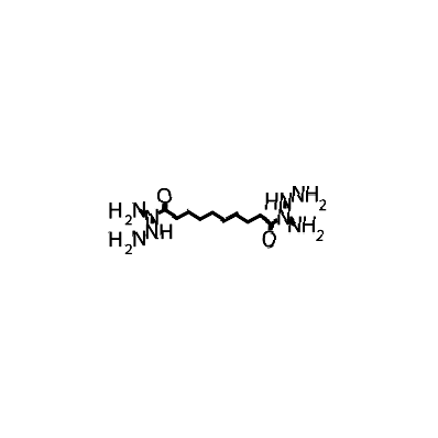 NNN(N)C(=O)CCCCCCCCC(=O)N(N)NN